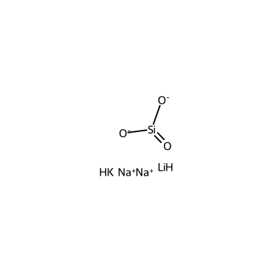 O=[Si]([O-])[O-].[KH].[LiH].[Na+].[Na+]